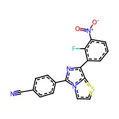 N#Cc1ccc(-c2nc(-c3cccc([N+](=O)[O-])c3F)c3sccn23)cc1